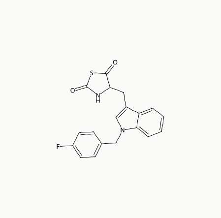 O=C1NC(Cc2cn(Cc3ccc(F)cc3)c3ccccc23)C(=O)S1